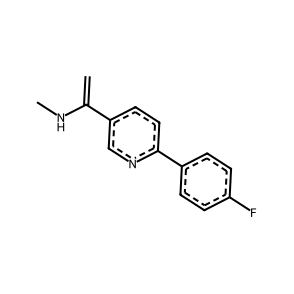 C=C(NC)c1ccc(-c2ccc(F)cc2)nc1